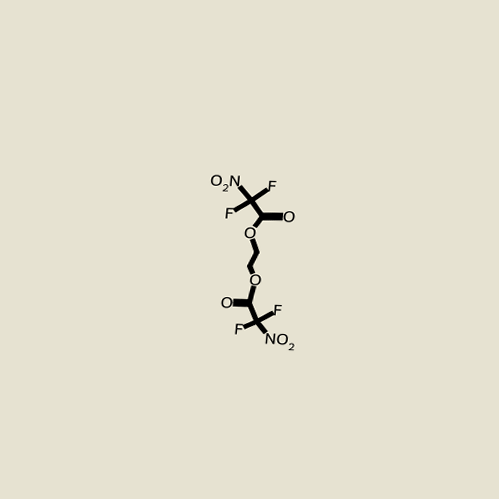 O=C(OCCOC(=O)C(F)(F)[N+](=O)[O-])C(F)(F)[N+](=O)[O-]